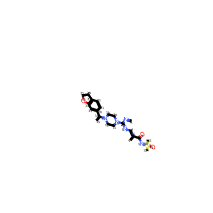 C=N/C(=N\C=C(/C)C(=O)N=S(C)(C)=O)N1CCN(C(C)c2ccc3c(c2)OCC3)CC1